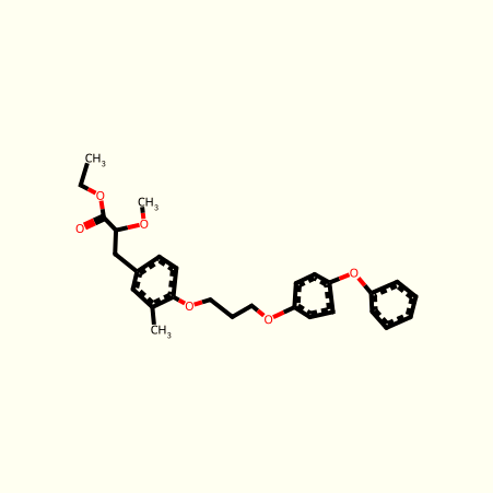 CCOC(=O)C(Cc1ccc(OCCCOc2ccc(Oc3ccccc3)cc2)c(C)c1)OC